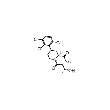 C[C@@H](O)[C@H]1NC(=O)[C@@H]2C[C@H](c3c(O)ccc(Cl)c3Cl)CCN2C1=O